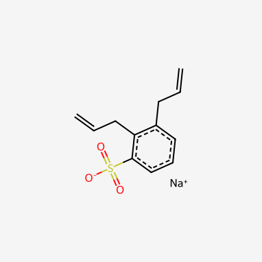 C=CCc1cccc(S(=O)(=O)[O-])c1CC=C.[Na+]